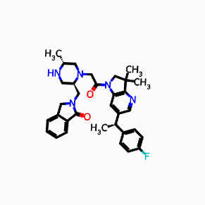 C[C@H](c1ccc(F)cc1)c1cnc2c(c1)N(C(=O)CN1C[C@@H](C)NC[C@@H]1CN1Cc3ccccc3C1=O)CC2(C)C